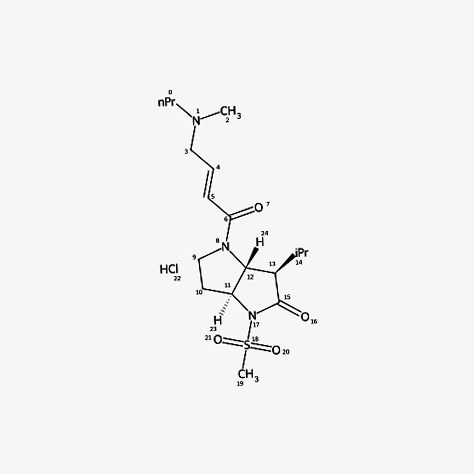 CCCN(C)C/C=C/C(=O)N1CC[C@H]2[C@H]1[C@@H](C(C)C)C(=O)N2S(C)(=O)=O.Cl